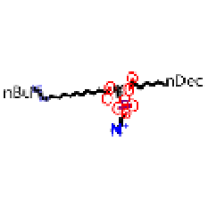 CCCC/C=C\C=C/CCCCCCCCCC(=O)O[C@H](COC(=O)CCCCCCCCCCCCCCC)COP(=O)([O-])OCC[N+](C)(C)C